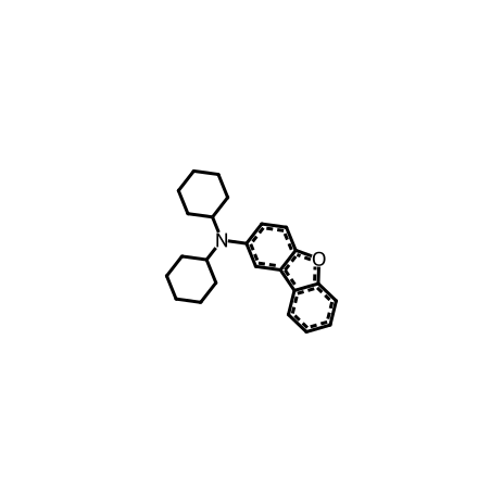 c1ccc2c(c1)oc1ccc(N(C3CCCCC3)C3CCCCC3)cc12